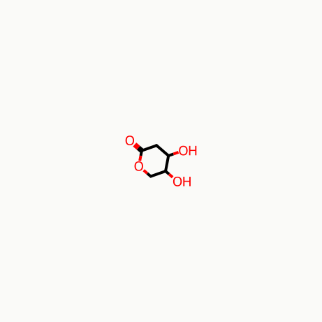 O=C1CC(O)C(O)CO1